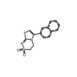 O=S1(=O)CCN2C(c3ccc4ccccc4c3)=CSC2=N1